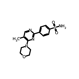 Cc1cnc(-c2ccc(S(N)(=O)=O)cc2)nc1N1CCOCC1